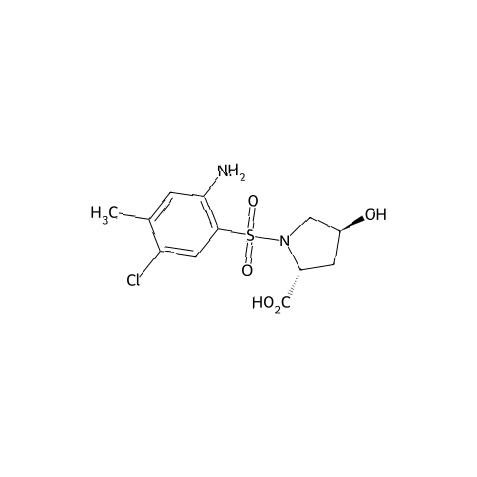 Cc1cc(N)c(S(=O)(=O)N2C[C@@H](O)C[C@@H]2C(=O)O)cc1Cl